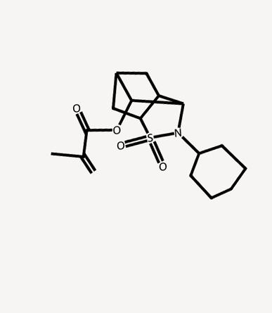 C=C(C)C(=O)OC1C2CC3C1N(C1CCCCC1)S(=O)(=O)C3C2